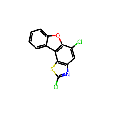 Clc1nc2cc(Cl)c3oc4ccccc4c3c2s1